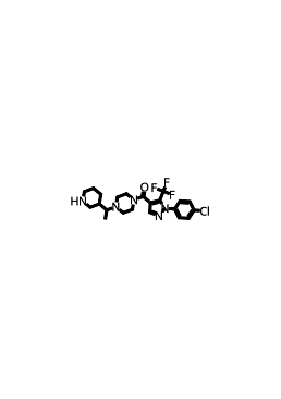 CC(C1CCCNC1)N1CCN(C(=O)c2cnn(-c3ccc(Cl)cc3)c2C(F)(F)F)CC1